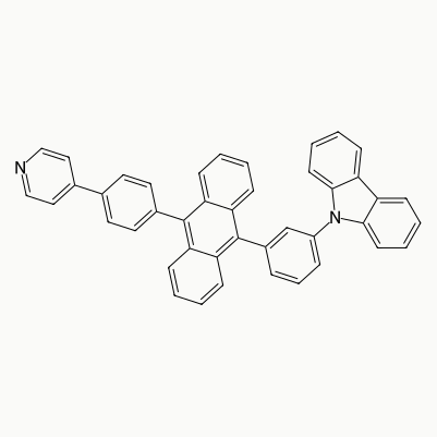 c1cc(-c2c3ccccc3c(-c3ccc(-c4ccncc4)cc3)c3ccccc23)cc(-n2c3ccccc3c3ccccc32)c1